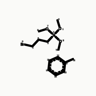 CO[Si](CCCBr)(OC)OC.Cc1ccccc1